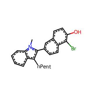 CCCCCc1c(-c2ccc3c(Br)c(O)ccc3c2)n(C)c2ccccc12